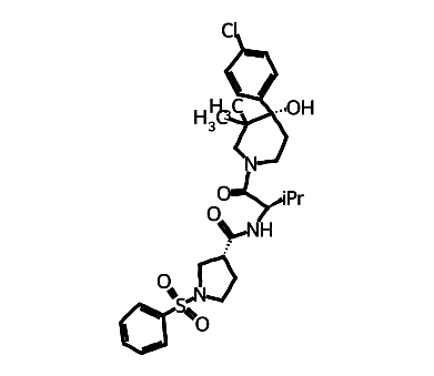 CC(C)[C@@H](NC(=O)[C@@H]1CCN(S(=O)(=O)c2ccccc2)C1)C(=O)N1CC[C@](O)(c2ccc(Cl)cc2)C(C)(C)C1